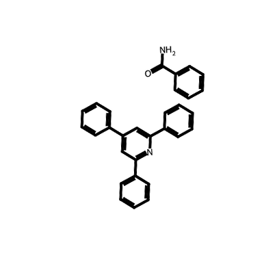 NC(=O)c1ccccc1.c1ccc(-c2cc(-c3ccccc3)nc(-c3ccccc3)c2)cc1